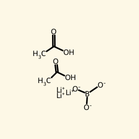 CC(=O)O.CC(=O)O.[Li+].[Li+].[Li+].[O-]B([O-])[O-]